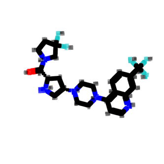 O=C([C@@H]1C[C@H](N2CCN(c3ccnc4cc(C(F)(F)F)ccc34)CC2)CN1)N1CCC(F)(F)C1